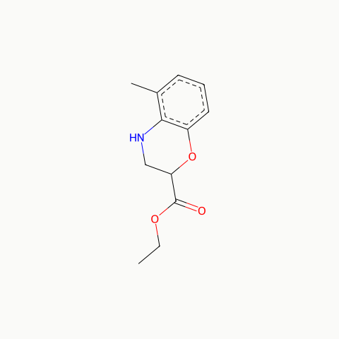 CCOC(=O)C1CNc2c(C)cccc2O1